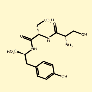 N[C@@H](CO)C(=O)N[C@@H](CC(=O)O)C(=O)N[C@@H](Cc1ccc(O)cc1)C(=O)O